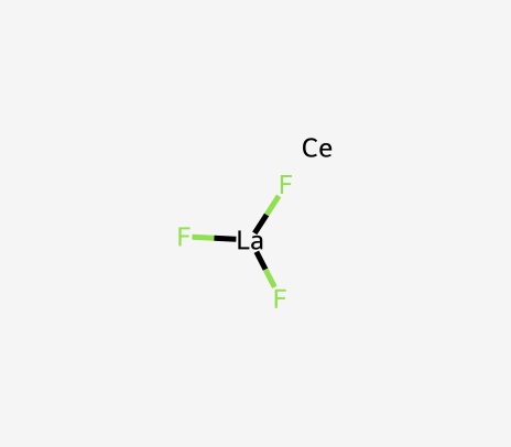 [Ce].[F][La]([F])[F]